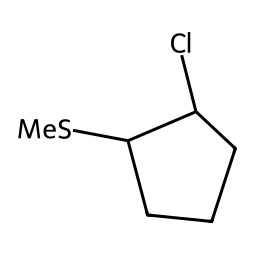 CSC1CCCC1Cl